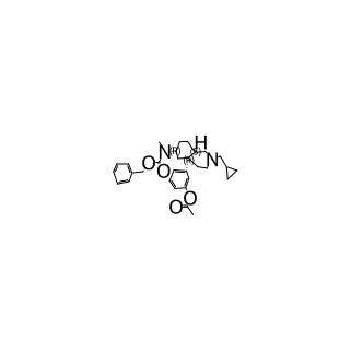 CC(=O)Oc1cccc([C@@]23CCN(CC4CC4)C[C@H]2CC[C@@H](N(C)C(=O)OCc2ccccc2)C3)c1